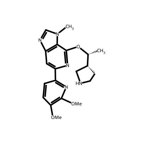 COc1ccc(-c2cc3ncn(C)c3c(O[C@H](C)[C@@H]3CCNC3)n2)nc1OC